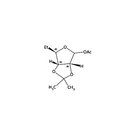 CC[C@H]1OC(OC(C)=O)[C@@H]2OC(C)(C)O[C@H]12